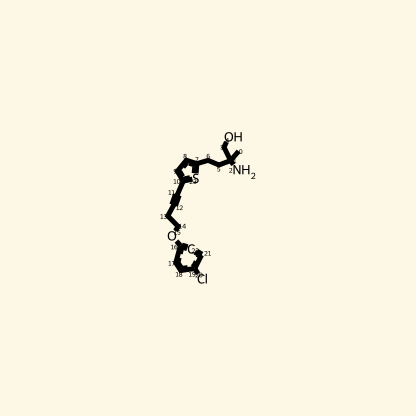 CC(N)(CO)CCc1ccc(C#CCCOc2ccc(Cl)cc2)s1